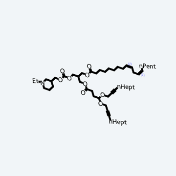 CCCCC/C=C\C/C=C\CCCCCCCC(=O)OCC(COC(=O)CCC(OCC#CCCCCCCC)OCC#CCCCCCCC)COC(=O)OCC1CCCN(CC)C1